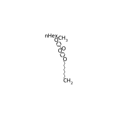 C=CCCCCCCCCOc1ccc(OC(=O)c2ccc(O[C@@H](C)CCCCCC)cc2)cc1